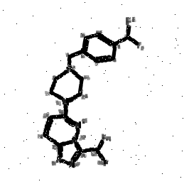 FC(F)c1ccc(CN2CCN(c3ccc4nnc(C(F)F)n4n3)CC2)cc1